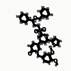 COc1ccc(Cn2cc(-c3cc(-c4cccs4)nc(S(=O)(=O)CCC(OCc4ccccc4)c4ccccc4)n3)ccc2=O)cc1OC